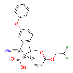 CC1(C)[C@H](/C=C\C(=O)OCC(F)F)[C@@]1(C(=O)O)[C@@H](C#N)c1cccc(Oc2ccccc2)c1